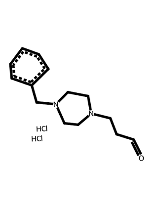 Cl.Cl.O=CCCN1CCN(Cc2ccccc2)CC1